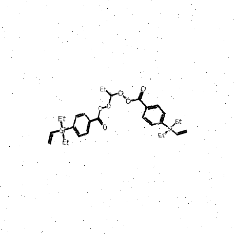 [CH2]C[C](OOC(=O)c1ccc([Si](C=C)(CC)CC)cc1)OOC(=O)c1ccc([Si](C=C)(CC)CC)cc1